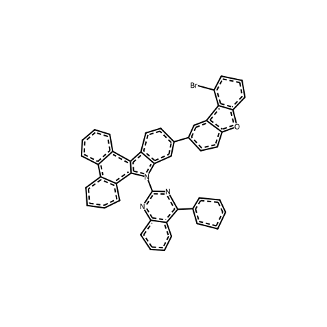 Brc1cccc2oc3ccc(-c4ccc5c6c7ccccc7c7ccccc7c6n(-c6nc(-c7ccccc7)c7ccccc7n6)c5c4)cc3c12